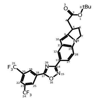 CC(C)(C)OC(=O)CC1CCn2c1cc1cc(-c3noc(-c4cc(C(F)(F)F)cc(C(F)(F)F)c4)n3)ccc12